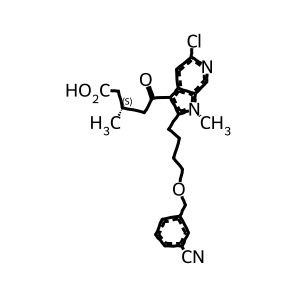 C[C@H](CC(=O)O)CC(=O)c1c(CCCCOCc2cccc(C#N)c2)n(C)c2cnc(Cl)cc12